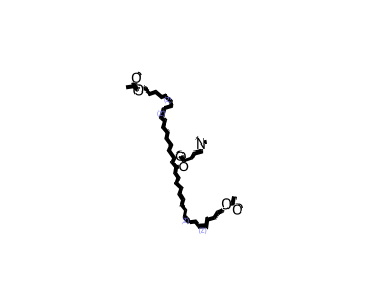 CC(=O)OCCCC/C=C\C/C=C\CCCCCCCCC(CCCCCCCC/C=C\C/C=C\CCCCOC(C)=O)OC(=O)CCCN(C)C